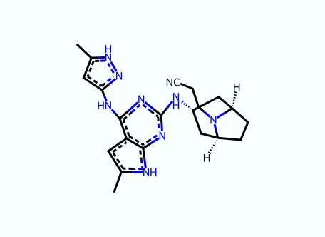 Cc1cc(Nc2nc(N[C@@H]3C[C@H]4CC[C@@H](C3)N4CCC#N)nc3[nH]c(C)cc23)n[nH]1